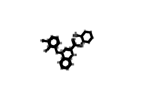 O=C(N[C@H]1CCCC[C@@H]1O)C1=CN(Cc2cccc(F)c2F)c2ccccc2S1